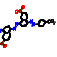 Nc1ccc(N=Nc2ccc(N=Nc3ccc(C(=O)O)cc3)c3c2CC(=S(=O)=O)C=C3)c2c1CC(=S(=O)=O)C=C2